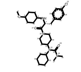 COC1CCC(N[C@H](Cc2ccc(Cl)cc2)C(=O)N2CCC(N(C(=O)N(C)C)C3CCCCC3)CC2)CC1